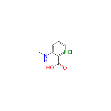 CNc1ccccc1C(=O)O.Cl